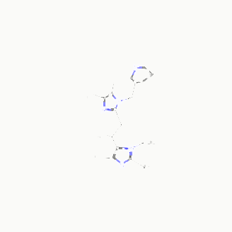 CCCCn1c(C(C)C)nc(C)c1C(C)Cc1nc(C)c(CC)n1Cc1cccnc1